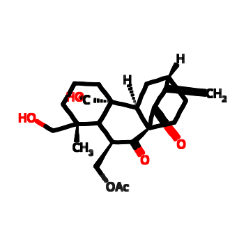 C=C1C(=O)[C@]23CC[C@H]1C[C@@H]2[C@]1(CO)CCC[C@@](C)(CO)C1[C@H](COC(C)=O)C3=O